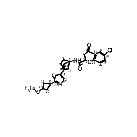 O=C1CC(C(=O)NC23CCC(c4nnc(C5CC(OC(F)(F)F)C5)o4)(C2)C3)Oc2ccc(Cl)cc21